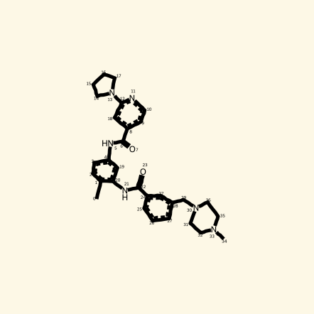 Cc1ccc(NC(=O)c2ccnc(N3CCCC3)c2)cc1NC(=O)c1cccc(CN2CCN(C)CC2)c1